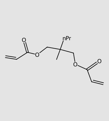 C=CC(=O)OCC(C)(CCC)COC(=O)C=C